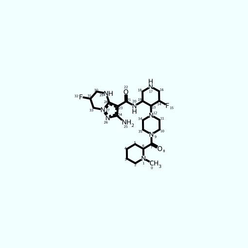 CN1CCCCC1C(=O)N1CCN(C2C(F)CNCC2NC(=O)c2c(N)nn3c2NCC(F)C3)CC1